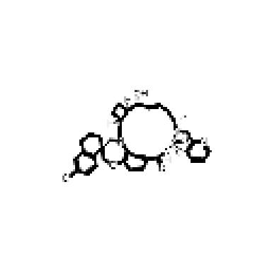 C[C@H]1C/C=C/[C@H](O)[C@@H]2CC[C@H]2CN2C[C@@]3(CCCc4cc(Cl)ccc43)COc3ccc(cc32)C(=O)NS(=O)(=O)N1Cc1ccccn1